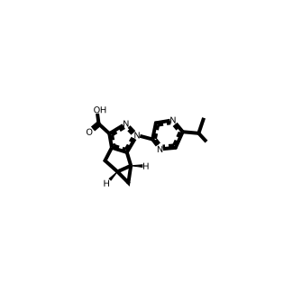 CC(C)c1cnc(-n2nc(C(=O)O)c3c2[C@@H]2C[C@@H]2C3)cn1